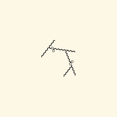 CCCCCCCCC(CCCCCC)COC(=O)CCCCCCCN(CCCCCC)CCCCCCCC(=O)OCC(CCCCCC)CCCCCCCC